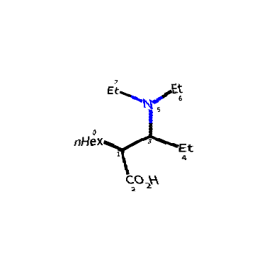 CCCCCCC(C(=O)O)C(CC)N(CC)CC